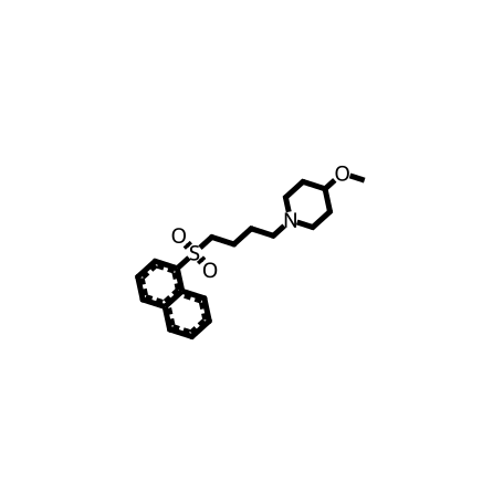 COC1CCN(CCCCS(=O)(=O)c2cccc3ccccc23)CC1